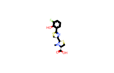 CN1[C@@H](C(=O)O)CS[C@H]1[C@@H]1CSC(c2cccc(F)c2O)=N1